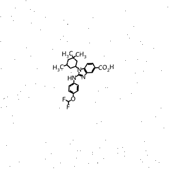 CC1CC(n2c(Nc3ccc(OC(F)F)cc3)nc3cc(C(=O)O)ccc32)CC(C)(C)C1